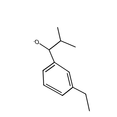 CCc1cccc(C([O])C(C)C)c1